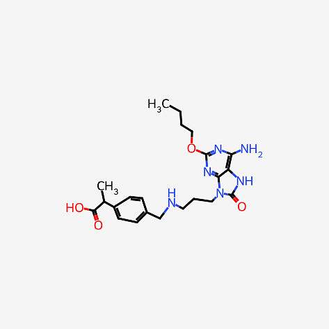 CCCCOc1nc(N)c2[nH]c(=O)n(CCCNCc3ccc(C(C)C(=O)O)cc3)c2n1